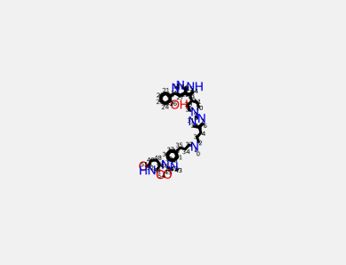 CN(CCCc1cnc(N2CCC(c3c[nH]c4nnc(-c5ccccc5O)cc34)CC2)nc1)CCCc1ccc2c(c1)n(C)c(=O)n2C1CCC(=O)NC1=O